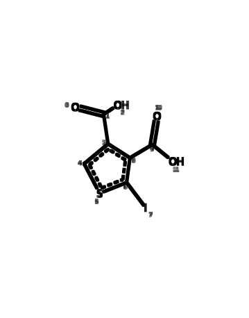 O=C(O)c1csc(I)c1C(=O)O